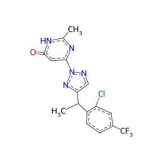 Cc1nc(-n2ncc(C(C)c3ccc(C(F)(F)F)cc3Cl)n2)cc(=O)[nH]1